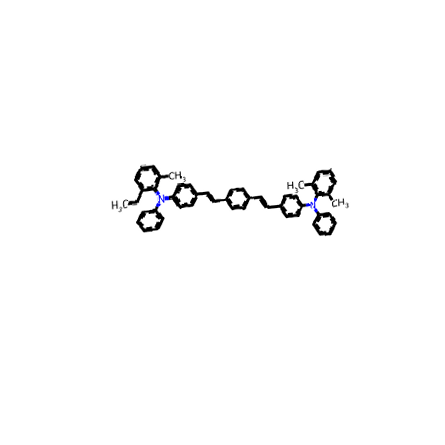 CCc1cccc(C)c1N(c1ccccc1)c1ccc(C=Cc2ccc(C=Cc3ccc(N(c4ccccc4)c4c(C)cccc4C)cc3)cc2)cc1